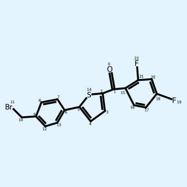 O=C(c1ccc(-c2ccc(CBr)cc2)s1)c1ccc(F)cc1F